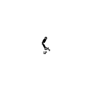 C[S-]=O.[Li+]